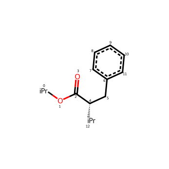 CC(C)OC(=O)[C@H](Cc1ccccc1)C(C)C